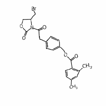 Cc1ccc(C(=O)OCc2ccc(CC(=O)N3C(=O)OCC3CBr)cc2)c(C)c1